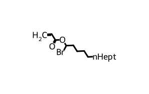 C=CC(=O)OC(Br)CCCCCCCCCCC